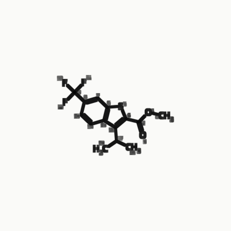 COC(=O)c1sc2cc(C(F)(F)F)ccc2c1C(C)C